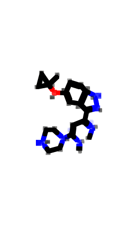 C=N/C(=C\C(=N/C)c1n[nH]c2ccc(OC3(C)CC3)cc12)N1CCNCC1